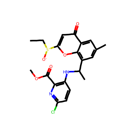 CC[S+]([O-])c1cc(=O)c2cc(C)cc(C(C)Nc3ccc(Cl)nc3C(=O)OC)c2o1